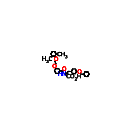 Cc1cccc(C)c1OCCOc1cccc(C(=O)N[C@@H](Cc2ccc(OCc3ccccc3)cc2)C(=O)O)c1